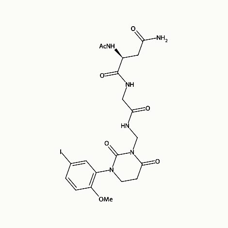 COc1ccc(I)cc1N1CCC(=O)N(CNC(=O)CNC(=O)[C@H](CC(N)=O)NC(C)=O)C1=O